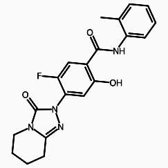 Cc1ccccc1NC(=O)c1cc(F)c(-n2nc3n(c2=O)CCCC3)cc1O